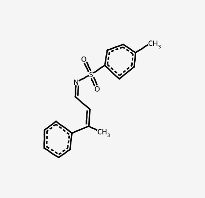 C/C(=C/C=N\S(=O)(=O)c1ccc(C)cc1)c1ccccc1